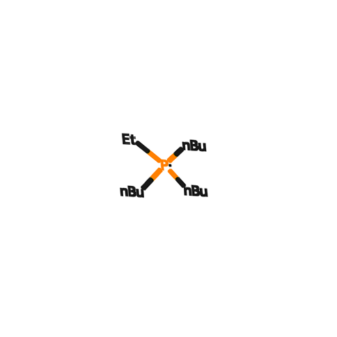 CCCC[P](CC)(CCCC)CCCC